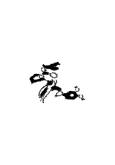 COc1ccc(OCc2noc([C@@H]3CCCN3C(=O)OC(C)(C)C)n2)cc1OC